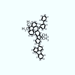 CC1(C)c2cc(-c3ccc4c5c(cccc35)-c3ccccc3-4)ccc2-c2ccc(N(c3cccc(-c4ccccc4)c3)c3cccc4c3-c3ccccc3C4(C)C)cc21